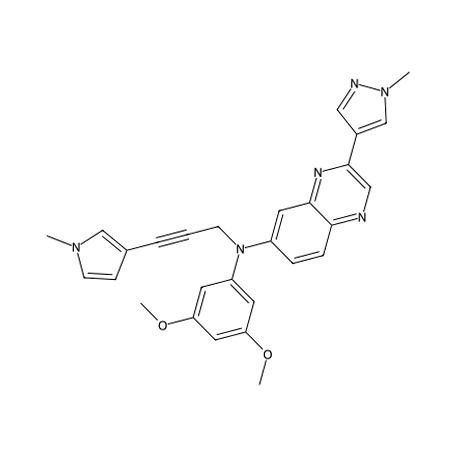 COc1cc(OC)cc(N(CC#Cc2ccn(C)c2)c2ccc3ncc(-c4cnn(C)c4)nc3c2)c1